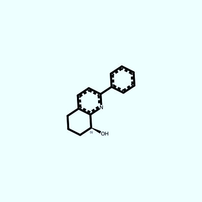 O[C@H]1CCCc2ccc(-c3ccccc3)nc21